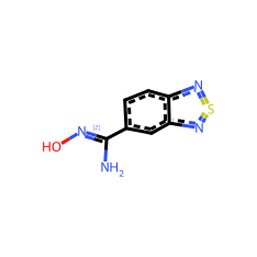 N/C(=N\O)c1ccc2nsnc2c1